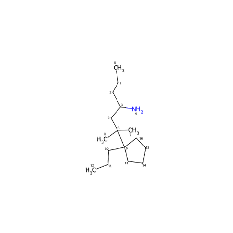 CCCC(N)CC(C)(C)C1(CCC)CCCC1